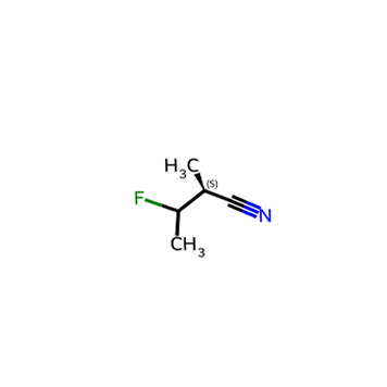 CC(F)[C@@H](C)C#N